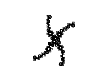 O=C(Oc1cc(OC(=O)c2ccc(OCCCCOCC3CO3)cc2)c(OC(=O)c2ccc(OCCCCOCC3CO3)cc2)cc1OC(=O)c1ccc(OCCCCOCC2CO2)cc1)c1ccc(OCCCCOCC2CO2)cc1